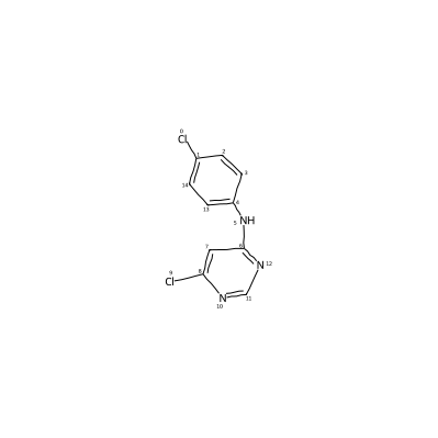 Clc1ccc(Nc2cc(Cl)ncn2)cc1